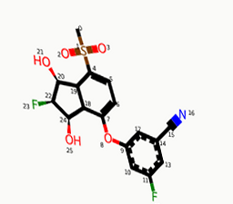 CS(=O)(=O)C1=CC=C(Oc2cc(F)cc(C#N)c2)C2C1[C@H](O)[C@H](F)[C@@H]2O